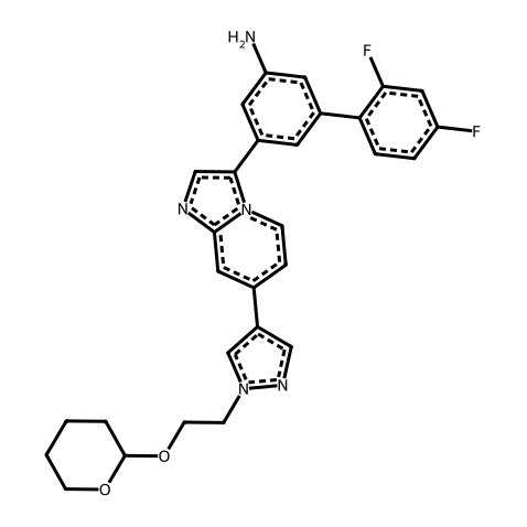 Nc1cc(-c2ccc(F)cc2F)cc(-c2cnc3cc(-c4cnn(CCOC5CCCCO5)c4)ccn23)c1